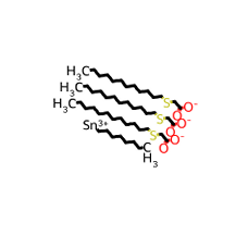 CCCCCCCCCCCCSCC(=O)[O-].CCCCCCCCCCCCSCC(=O)[O-].CCCCCCCCCCCCSCC(=O)[O-].CCCCCCC[CH2][Sn+3]